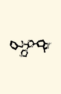 Cc1n[nH]c2ccc(-c3cnc(N(C)Cc4ccccc4)c(N4CCNCC4)n3)cc12